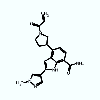 C=CC(=O)N1CCC(c2ccc(C(N)=O)c3[nH]c(-c4cnn(C)c4)cc23)C1